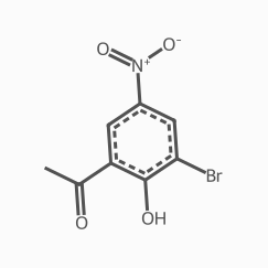 CC(=O)c1cc([N+](=O)[O-])cc(Br)c1O